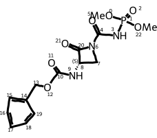 COP(=O)(NC(=O)N1C[C@H](NC(=O)OCc2ccccc2)C1=O)OC